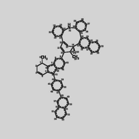 CC1CC=Cc2c1c1cc(C3=CC4=C[C@H](c5cc6ccccc6cc5-c5ccccc5Nc5ccccc54)C3C)ccc1n2-c1ccc(-c2ccc3ccccc3c2)cc1